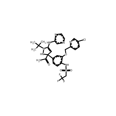 CC(C)(C)N1NC(C(N)=O)(c2ccc(NS(=O)(=O)CC(F)(F)F)c(OCc3ccc(Cl)cn3)c2)C=C1Nc1cnccn1